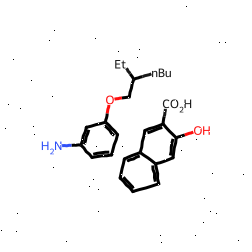 CCCCC(CC)COc1cccc(N)c1.O=C(O)c1cc2ccccc2cc1O